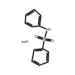 O=S(=O)(Nc1ccccc1)c1ccccc1.[NaH]